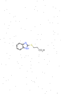 O=C(O)CCSc1nc2ccccc2[nH]1